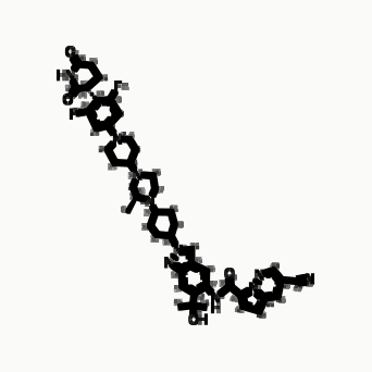 C[C@H]1CN(C2CCN(c3cc(F)c([C@H]4CCC(=O)NC4=O)c(F)c3)CC2)CCN1C1CCC(n2cc3cc(NC(=O)c4ccc5cc(C#N)cnn45)c(C(C)(C)O)cc3n2)CC1